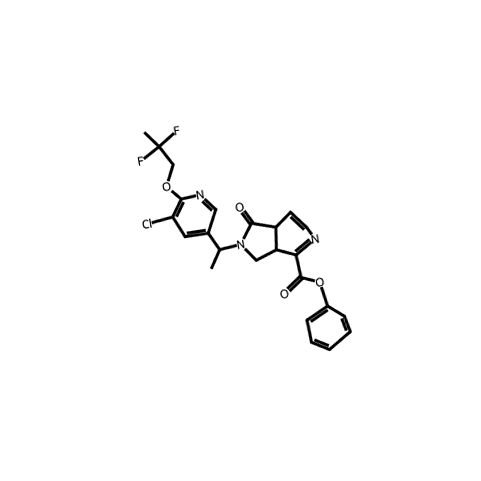 CC(c1cnc(OCC(C)(F)F)c(Cl)c1)N1CC2C(C(=O)Oc3ccccc3)=NC=CC2C1=O